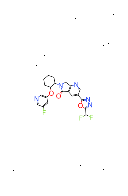 O=C1c2cc(-c3nnc(C(F)F)o3)cnc2CN1C1CCCCC1Oc1cncc(F)c1